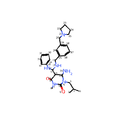 CC(C)CN1C(=O)N(C)C(=O)C(C(NCc2cccc(CN3CCCC3)c2)Nc2ccccc2)C1N